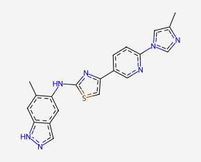 Cc1cn(-c2ccc(-c3csc(Nc4cc5cn[nH]c5cc4C)n3)cn2)cn1